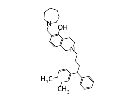 CC/C=C\C(=C/CC)C(CCCN1CCc2c(ccc(CN3CCCCCC3)c2O)C1)c1ccccc1